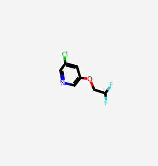 FC(F)COc1cncc(Cl)c1